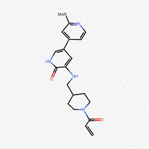 C=CC(=O)N1CCC(CNc2cc(-c3ccnc(NC)c3)c[nH]c2=O)CC1